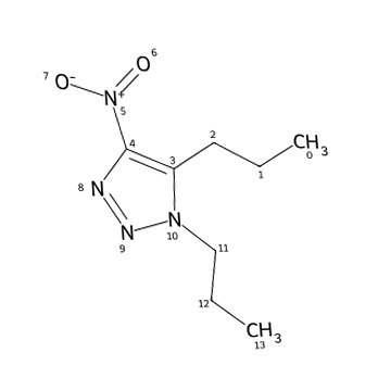 CCCc1c([N+](=O)[O-])nnn1CCC